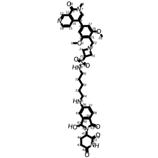 COc1cc(-c2cn(C)c(=O)c3cnccc23)cc(OC)c1CN1CC(S(=O)(=O)NCCCCCNc2ccc3c(c2)C(O)N(C2CCC(=O)NC2=O)C3=O)C1